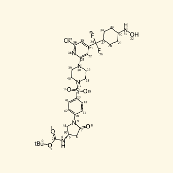 CC(C)(C)OC(=O)N[C@@H]1CC(=O)N(c2ccc(S(=O)(=O)N3CCN(c4cc(C(F)(F)C5CCC(NO)CC5)cc(Cl)n4)CC3)cc2)C1